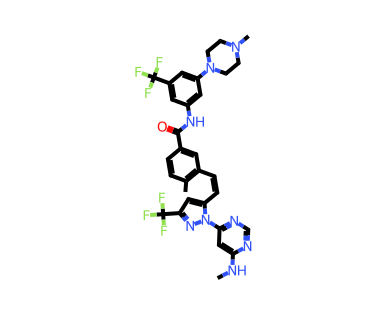 CNc1cc(-n2nc(C(F)(F)F)cc2/C=C\c2cc(C(=O)Nc3cc(N4CCN(C)CC4)cc(C(F)(F)F)c3)ccc2C)ncn1